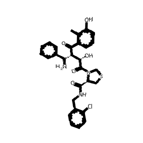 Cc1c(O)cccc1C(=O)[C@@H](C(N)c1ccccc1)[C@H](O)C(=O)N1CSC[C@H]1C(=O)NCc1ccccc1Cl